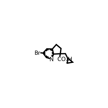 O=C(O)C1(CC2CC2)CCc2cc(Br)cnc21